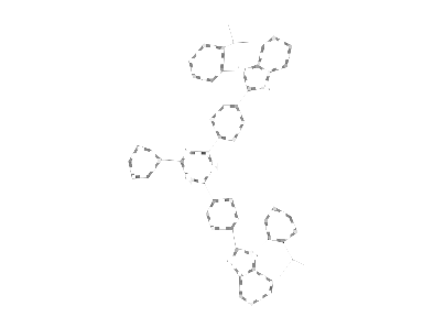 CC(C)c1ccccc1-n1c(-c2ccc(-c3nc(-c4ccccc4)nc(-c4ccc(-c5nc6ccccc6n5-c5ccccc5C(C)C)cc4)n3)cc2)nc2ccccc21